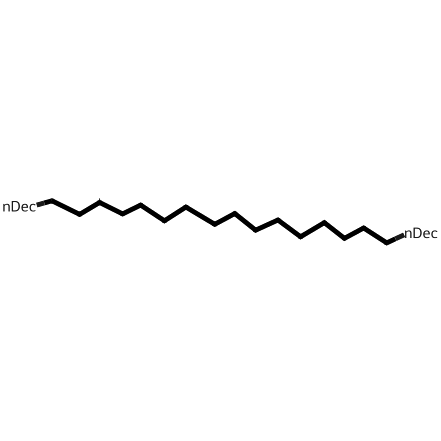 CCCCCCCCCCCC[CH]CCCCCCCCCCCCCCCCCCCCCCC